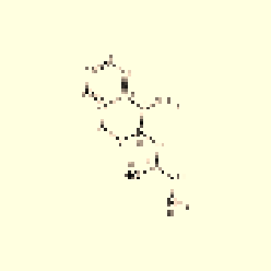 CC1c2ccccc2CCN1CC(O)CN